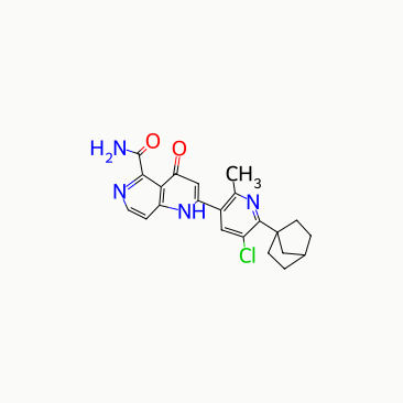 Cc1nc(C23CCC(CC2)C3)c(Cl)cc1-c1cc(=O)c2c(C(N)=O)nccc2[nH]1